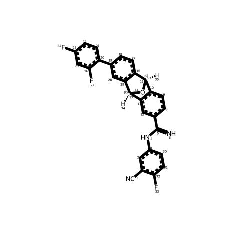 N#Cc1cc(NC(=N)c2ccc3c(c2)[C@@H]2O[C@H]3c3ccc(-c4ccc(F)cc4F)cc32)ccc1F